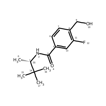 C[C@H](NC(=O)c1ccc(CO)c(F)c1)C(C)(C)C